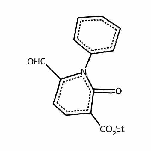 CCOC(=O)c1ccc(C=O)n(-c2ccccc2)c1=O